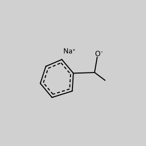 CC([O-])c1ccccc1.[Na+]